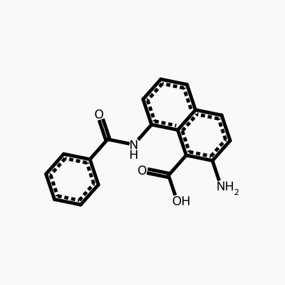 Nc1ccc2cccc(NC(=O)c3ccccc3)c2c1C(=O)O